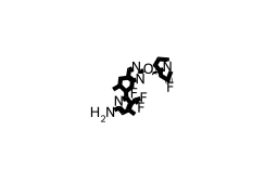 Cc1cc(N)nc(C2Cc3nc(OC[C@@]45CCCN4C[C@H](F)C5)ncc3CC2C)c1C(F)(F)F